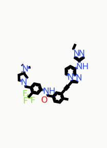 CCn1cc(Nc2cccn3c(C#Cc4cc(C(=O)Nc5ccc(CN6CC[C@@H](N(C)C)C6)c(C(F)(F)F)c5)ccc4C)cnc23)cn1